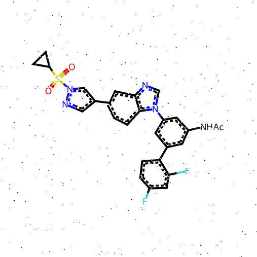 CC(=O)Nc1cc(-c2ccc(F)cc2F)cc(-n2cnc3cc(-c4cnn(S(=O)(=O)C5CC5)c4)ccc32)c1